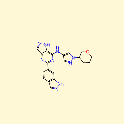 c1nn(C2CCCOC2)cc1Nc1nc(-c2ccc3cn[nH]c3c2)nc2cn[nH]c12